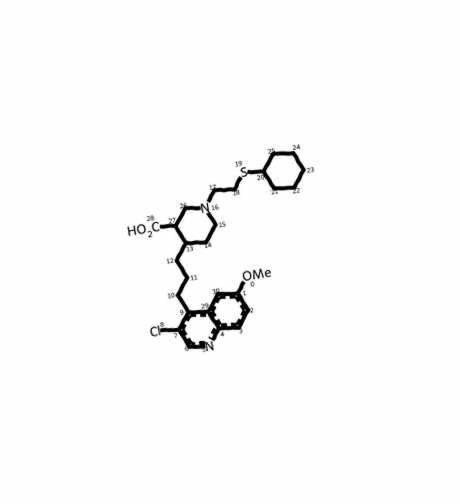 COc1ccc2ncc(Cl)c(CCCC3CCN(CCSC4CCCCC4)CC3C(=O)O)c2c1